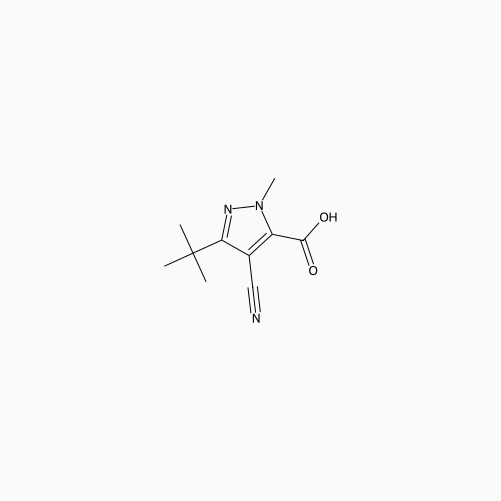 Cn1nc(C(C)(C)C)c(C#N)c1C(=O)O